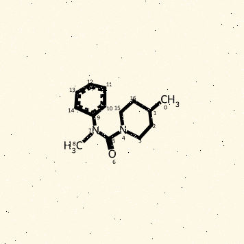 CC1CCN(C(=O)N(C)c2ccccc2)CC1